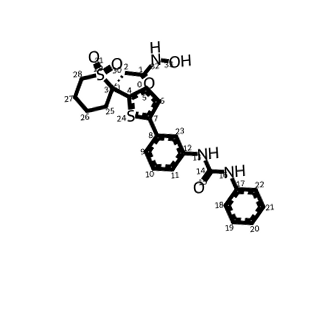 O=C(C[C@]1(c2ccc(-c3cccc(NC(=O)Nc4ccccc4)c3)s2)CCCCS1(=O)=O)NO